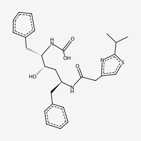 CC(C)c1nc(CC(=O)N[C@@H](Cc2ccccc2)C[C@H](O)[C@H](Cc2ccccc2)NC(=O)O)cs1